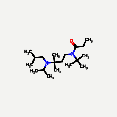 CCC(=O)N(CCC(C)(C)N(CC(C)C)C(C)C)C(C)(C)C